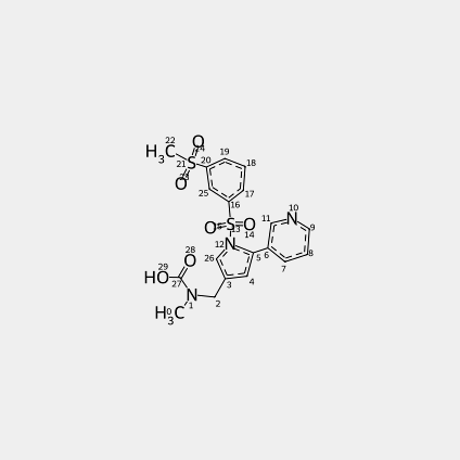 CN(Cc1cc(-c2cccnc2)n(S(=O)(=O)c2cccc(S(C)(=O)=O)c2)c1)C(=O)O